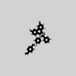 C=Cc1ccc(COc2ccc(-n3c(-c4ccccc4)nc4c5ccc(C)cc5c5cc(C)ccc5c43)cc2)cc1